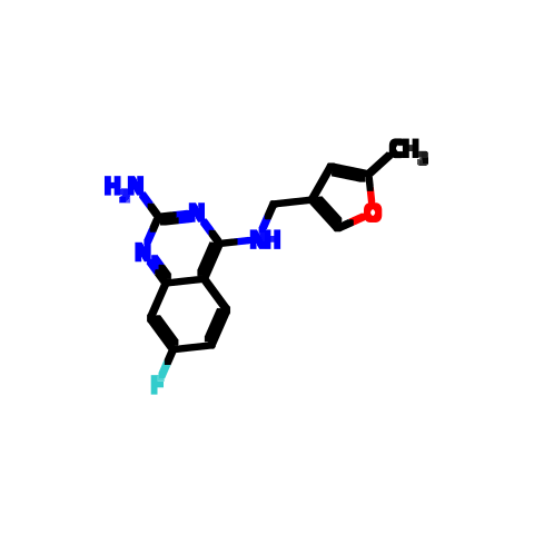 Cc1cc(CNc2nc(N)nc3cc(F)ccc23)co1